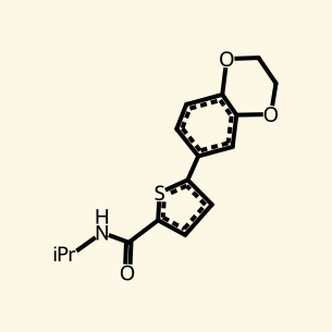 CC(C)NC(=O)c1ccc(-c2ccc3c(c2)OCCO3)s1